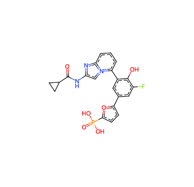 O=C(Nc1cn2c(-c3cc(-c4ccc(P(=O)(O)O)o4)cc(F)c3O)cccc2n1)C1CC1